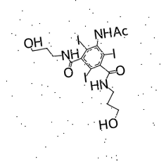 CC(=O)Nc1c(I)c(C(=O)NCCCO)c(I)c(C(=O)NCCCO)c1I